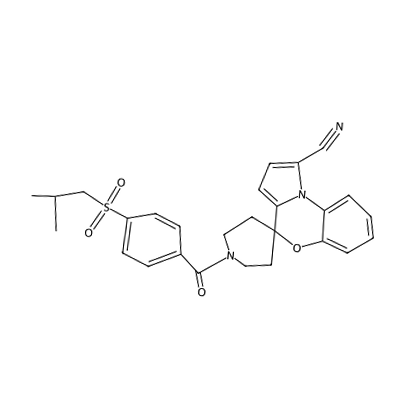 CC(C)CS(=O)(=O)c1ccc(C(=O)N2CCC3(CC2)Oc2ccccc2-n2c(C#N)ccc23)cc1